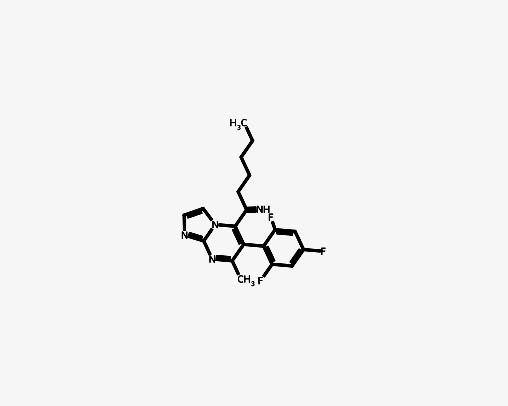 CCCCCC(=N)c1c(-c2c(F)cc(F)cc2F)c(C)nc2nccn12